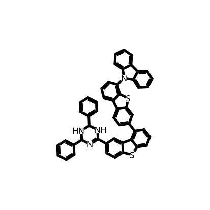 c1ccc(C2N=C(c3ccc4sc5cccc(-c6ccc7c(c6)sc6c(-n8c9ccccc9c9ccccc98)cccc67)c5c4c3)NC(c3ccccc3)N2)cc1